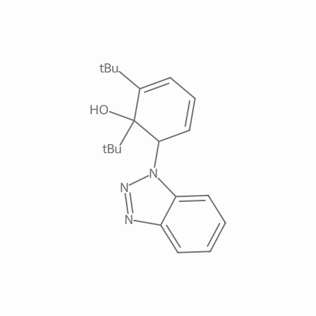 CC(C)(C)C1=CC=CC(n2nnc3ccccc32)C1(O)C(C)(C)C